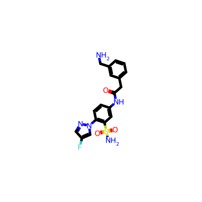 NCc1cccc(CC(=O)Nc2ccc(-n3cc(F)cn3)c(S(N)(=O)=O)c2)c1